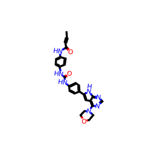 CC#CC(=O)Nc1ccc(NC(=O)Nc2ccc(-c3cc4c(N5CCOCC5)ncnc4[nH]3)cc2)cc1